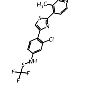 Cc1cnccc1-c1nc(-c2ccc(NSC(F)(F)F)cc2Cl)cs1